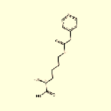 N[C@@H](CCCCNC(=O)Cc1ccncc1)C(=O)O